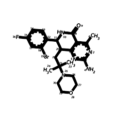 Cc1nc(N)nc2c1C(=O)NC(c1ccc(F)cc1Br)C2CC(C)(C)N1CCOCC1